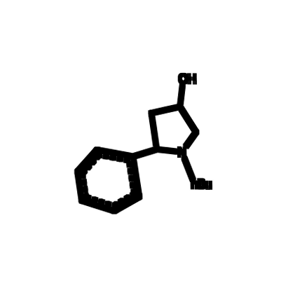 CCCCN1CC(O)CC1c1ccccc1